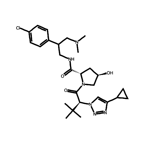 CN(C)CC(CNC(=O)[C@@H]1C[C@@H](O)CN1C(=O)[C@@H](n1cc(C2CC2)nn1)C(C)(C)C)c1ccc(Cl)cc1